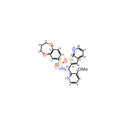 COc1cccnc1[C@H](NS(=O)(=O)c1ccc2c(c1)OCCCO2)c1cc2cccnc2s1